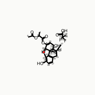 CC(=O)OC(C)C(=O)OC1=CC[C@@]2(O)[C@H]3Cc4ccc(O)c5c4[C@@]2(CCN3C)[C@H]1O5.O=C(O)C(F)(F)F